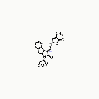 COCC(=O)N1C(=O)/C(=C/OC2C=C(C)C(=O)O2)C2c3ccccc3CC21